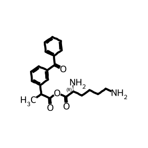 CC(C(=O)OC(=O)[C@H](N)CCCCN)c1cccc(C(=O)c2ccccc2)c1